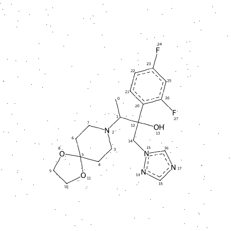 CC(N1CCC2(CC1)OCCO2)C(O)(Cn1cncn1)c1ccc(F)cc1F